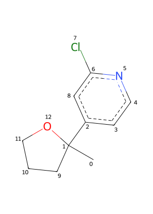 CC1(c2ccnc(Cl)c2)CCCO1